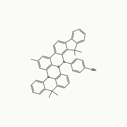 Cc1cc2c3c(c1)N1c4ccccc4C(C)(C)c4cccc(c41)B3N(c1ccc(C(C)(C)C)cc1)c1c-2ccc2c1C(C)(C)c1ccccc1-2